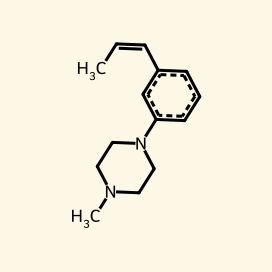 C/C=C\c1cccc(N2CCN(C)CC2)c1